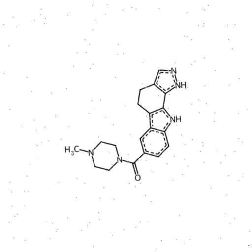 CN1CCN(C(=O)c2ccc3[nH]c4c(c3c2)CCc2cn[nH]c2-4)CC1